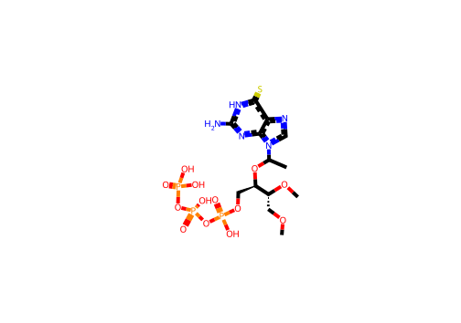 COC[C@@H](OC)[C@@H](COP(=O)(O)OP(=O)(O)OP(=O)(O)O)OC(C)n1cnc2c(=S)[nH]c(N)nc21